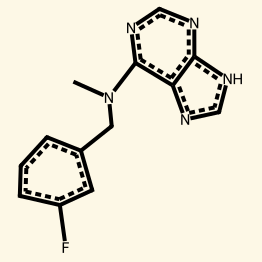 CN(Cc1cccc(F)c1)c1ncnc2[nH]cnc12